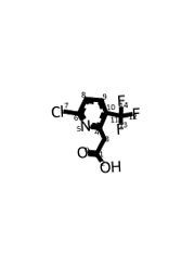 O=C(O)Cc1nc(Cl)ccc1C(F)(F)F